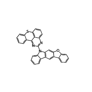 c1ccc2c(c1)Sc1cccc3nc(-n4c5ccccc5c5cc6c(cc54)oc4ccccc46)nc-2c13